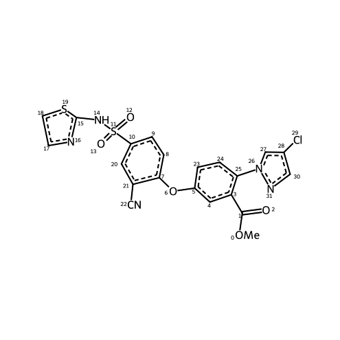 COC(=O)c1cc(Oc2ccc(S(=O)(=O)Nc3nccs3)cc2C#N)ccc1-n1cc(Cl)cn1